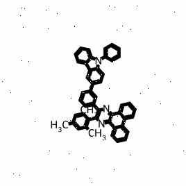 Cc1cc(C)c(-c2nc3c4ccccc4c4ccccc4c3nc2-c2cccc(-c3ccc4c(c3)c3ccccc3n4-c3ccccc3)c2)c(C)c1